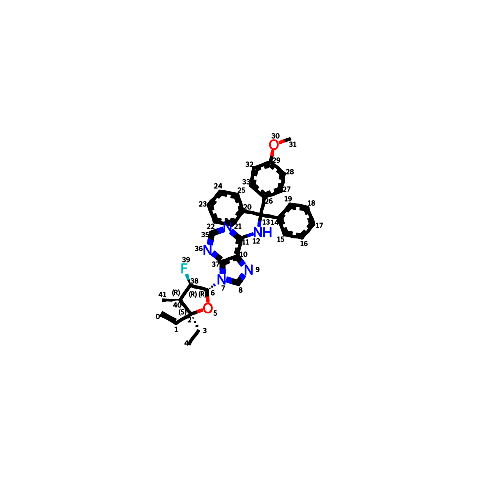 C=C[C@]1(CC)O[C@@H](n2cnc3c(NC(c4ccccc4)(c4ccccc4)c4ccc(OC)cc4)ncnc32)[C@H](F)[C@@H]1C